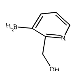 Bc1cccnc1CO